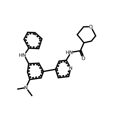 CN(C)c1cc(Nc2ccccc2)cc(-c2ccnc(NC(=O)C3CCOCC3)c2)c1